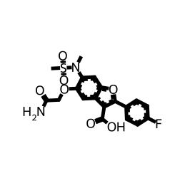 CN(c1cc2oc(-c3ccc(F)cc3)c(C(=O)O)c2cc1OCC(N)=O)S(C)(=O)=O